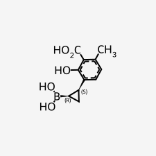 Cc1ccc([C@H]2C[C@H]2B(O)O)c(O)c1C(=O)O